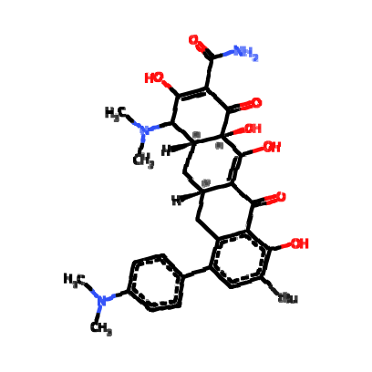 CN(C)c1ccc(-c2cc(C(C)(C)C)c(O)c3c2C[C@@H]2C[C@@H]4C(N(C)C)C(O)=C(C(N)=O)C(=O)[C@]4(O)C(O)=C2C3=O)cc1